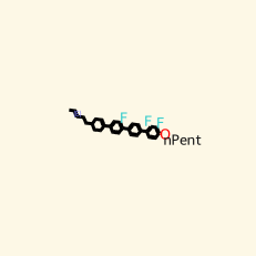 C/C=C/CCC1CC=C(c2ccc(-c3ccc(-c4ccc(OCCCCC)c(F)c4F)cc3)c(F)c2)CC1